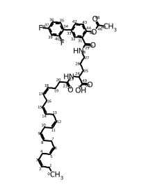 CC/C=C\C/C=C\C/C=C\C/C=C\C/C=C\C/C=C\CCC(=O)NC(CCCNC(=O)c1cc(-c2ccc(F)cc2F)ccc1OC(C)=O)C(=O)O